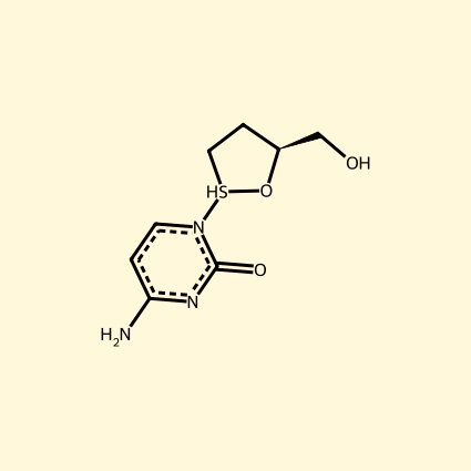 Nc1ccn([SH]2CC[C@@H](CO)O2)c(=O)n1